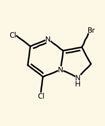 ClC1=CC(Cl)=NC2=C(Br)CNN12